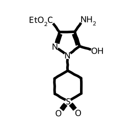 CCOC(=O)c1nn(C2CCS(=O)(=O)CC2)c(O)c1N